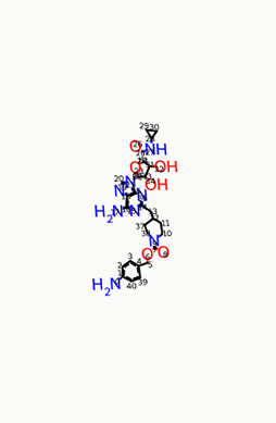 Nc1ccc(COC(=O)N2CCC(Cc3nc(N)c4ncn([C@@H]5O[C@H](C(=O)NC6CC6)C(O)C5O)c4n3)CC2)cc1